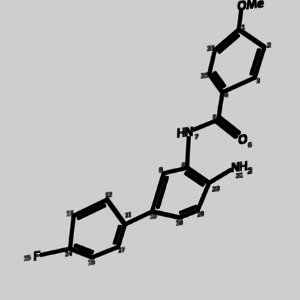 COc1ccc(C(=O)Nc2cc(-c3ccc(F)cc3)ccc2N)cc1